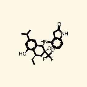 CC[C@@H]1C[C@](O)(C(F)(F)F)[C@@H](Nc2cccc3c2CC(=O)N3)c2cc(C(C)C)cc(O)c21